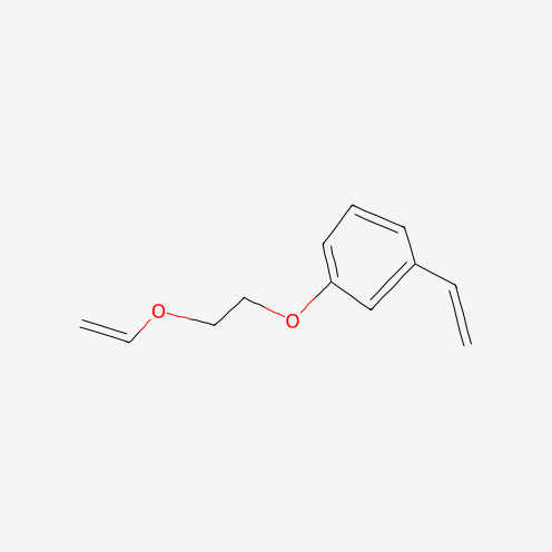 C=COCCOc1cccc(C=C)c1